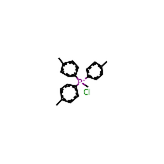 Cc1ccc([P+](C)(c2ccc(C)cc2)c2ccc(C)cc2)cc1.[Cl-]